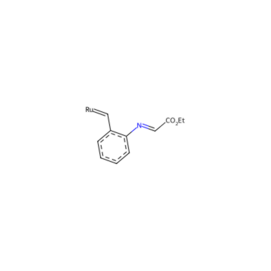 CCOC(=O)C=Nc1ccccc1[CH]=[Ru]